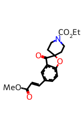 CCOC(=O)N1CCC2(CC1)Oc1ccc(C=CC(=O)OC)cc1C2=O